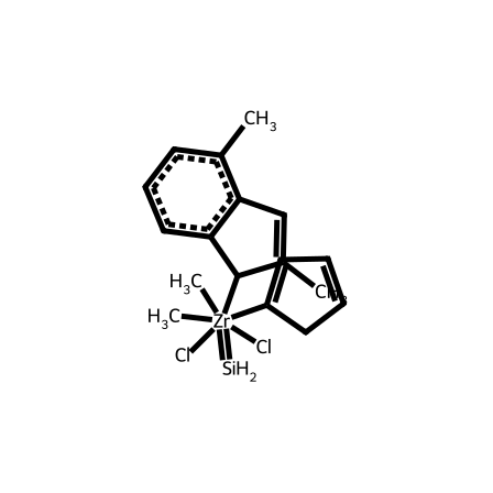 CC1=Cc2c(C)cccc2[CH]1[Zr]([CH3])([CH3])(=[SiH2])([Cl])([Cl])[C]1=CC=CC1